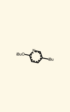 CCC(C)c1ccc(OCC(C)C)nc1